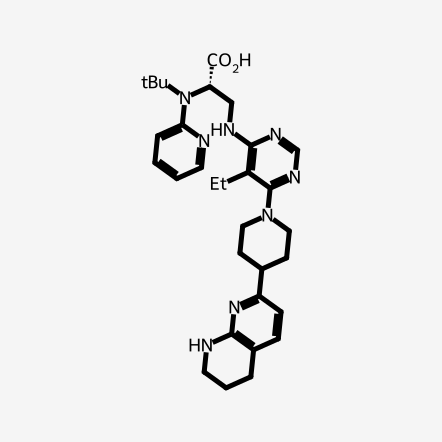 CCc1c(NC[C@@H](C(=O)O)N(c2ccccn2)C(C)(C)C)ncnc1N1CCC(c2ccc3c(n2)NCCC3)CC1